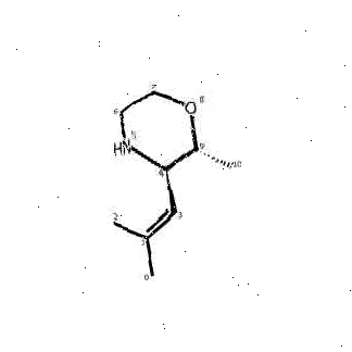 CC(C)=C[C@H]1NCCO[C@@H]1C